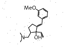 C=CC1(O)C(=Cc2cccc(OC)c2)CCC1CN(C)C